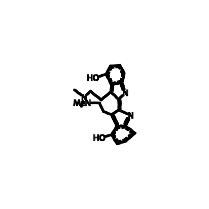 CNCCC1=c2c(O)cccc2=NC1=C1N=c2cccc(O)c2=C1CCN(C)C